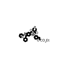 CCOC(=O)c1cc2cc(NC(=O)C3(NC(=O)c4ccc5c(C6CCCCC6)n(-c6ccccn6)nc5c4)CCN(C)CC3)ccc2o1